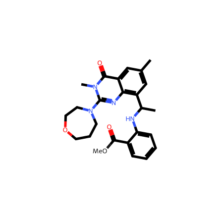 COC(=O)c1ccccc1NC(C)c1cc(C)cc2c(=O)n(C)c(N3CCCOCC3)nc12